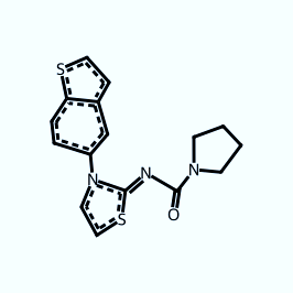 O=C(N=c1sccn1-c1ccc2sccc2c1)N1CCCC1